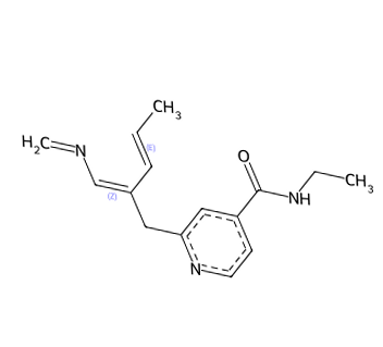 C=N/C=C(\C=C\C)Cc1cc(C(=O)NCC)ccn1